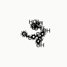 Cl.O=C(c1ccc(OCCN2CCCCC2)cc1)c1c(-c2ccc(O)cc2)sc2cc(O)ccc12.O=P1(NCCCl)OCCCN1CCCl